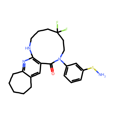 NSc1cccc(N2CCC(F)(F)CCCNc3nc4c(cc3C2=O)CCCCC4)c1